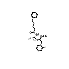 Cc1ccccc1C/C(=N\C#N)NC(NC(=O)CCCCc1ccccc1)C(C)(C)C